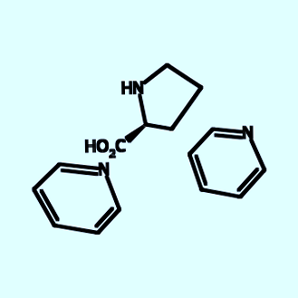 O=C(O)[C@@H]1CCCN1.c1ccncc1.c1ccncc1